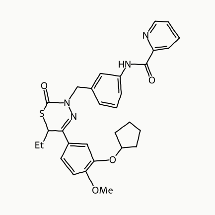 CCC1SC(=O)N(Cc2cccc(NC(=O)c3ccccn3)c2)N=C1c1ccc(OC)c(OC2CCCC2)c1